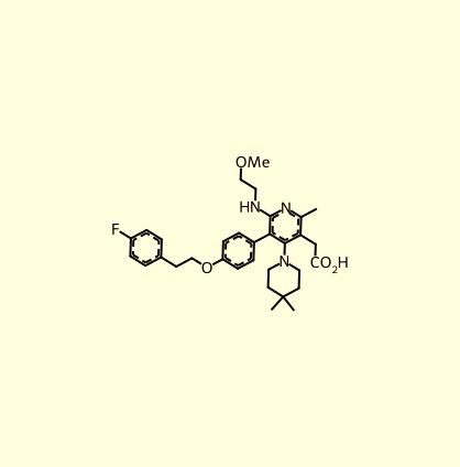 COCCNc1nc(C)c(CC(=O)O)c(N2CCC(C)(C)CC2)c1-c1ccc(OCCc2ccc(F)cc2)cc1